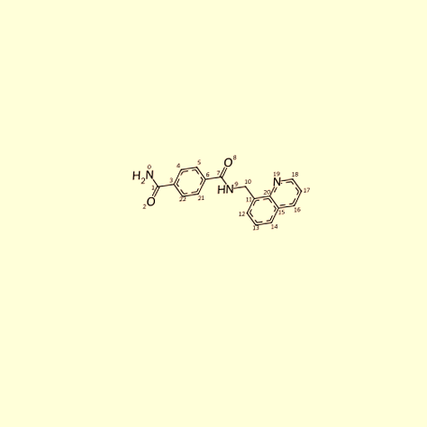 NC(=O)c1ccc(C(=O)NCc2cccc3cccnc23)cc1